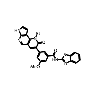 CCn1c(=O)c(-c2cc(OC)cc(C(=O)Nc3nc4ccccc4s3)c2)cc2cnc3[nH]ccc3c21